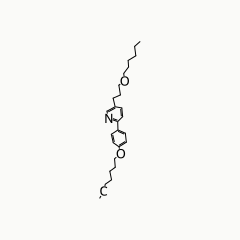 CCCCCCCOc1ccc(-c2ccc(CCCOCCCCCC)cn2)cc1